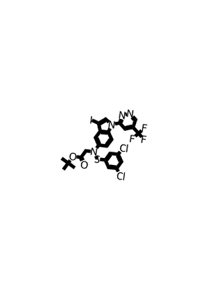 CC(C)(C)OC(=O)CN(Sc1cc(Cl)cc(Cl)c1)c1ccc2c(c1)c(I)cn2-c1cc(C(F)(F)F)cnn1